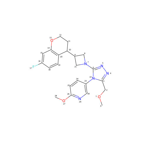 COCc1nnc(N2CC(C3CCOc4cc(F)ccc43)C2)n1-c1ccc(OC)nc1